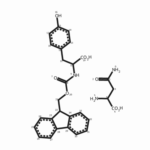 NC(=O)CC(N)C(=O)O.O=C(NC(Cc1ccc(O)cc1)C(=O)O)OCC1c2ccccc2-c2ccccc21